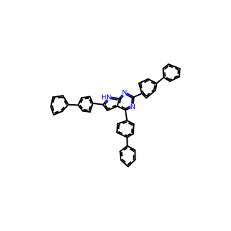 c1ccc(-c2ccc(-c3nc(-c4ccc(-c5ccccc5)cc4)c4cc(-c5ccc(-c6ccccc6)cc5)[nH]c4n3)cc2)cc1